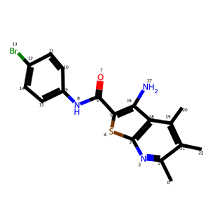 Cc1nc2sc(C(=O)Nc3ccc(Br)cc3)c(N)c2c(C)c1C